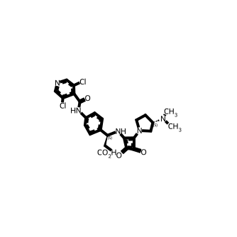 CN(C)[C@H]1CCN(c2c(N[C@@H](CC(=O)O)c3ccc(NC(=O)c4c(Cl)cncc4Cl)cc3)c(=O)c2=O)C1